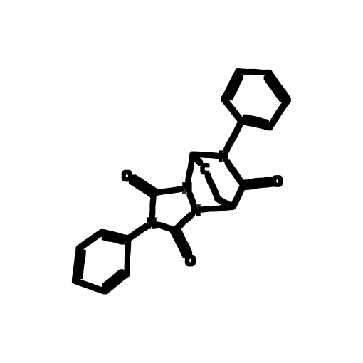 O=C1C2CCC(N1c1ccccc1)n1c(=O)n(-c3ccccc3)c(=O)n12